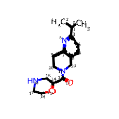 CC(C)c1ccc2c(n1)CCN(C(=O)C1CNCCO1)C2